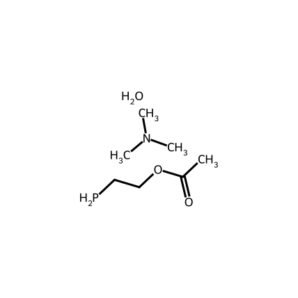 CC(=O)OCCP.CN(C)C.O